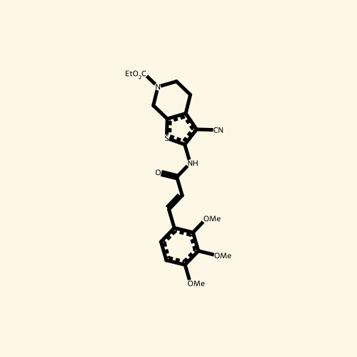 CCOC(=O)N1CCc2c(sc(NC(=O)C=Cc3ccc(OC)c(OC)c3OC)c2C#N)C1